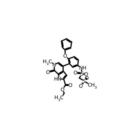 CCOC(=O)c1cc2c(-c3cc(NS(=O)(=O)CS(C)(=O)=O)ccc3Oc3ccccc3)cn(C)c(=O)c2[nH]1